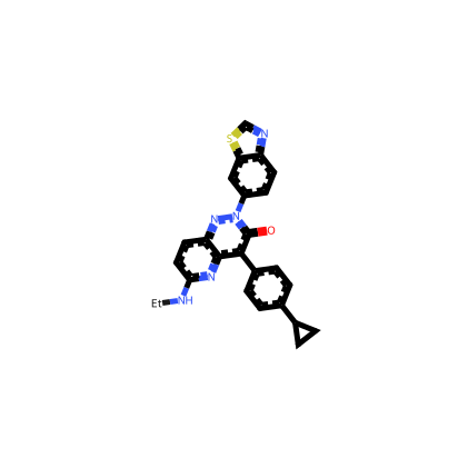 CCNc1ccc2nn(-c3ccc4ncsc4c3)c(=O)c(-c3ccc(C4CC4)cc3)c2n1